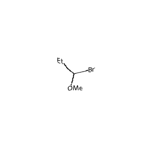 CCC(Br)OC